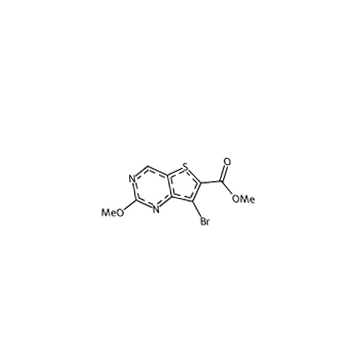 COC(=O)c1sc2cnc(OC)nc2c1Br